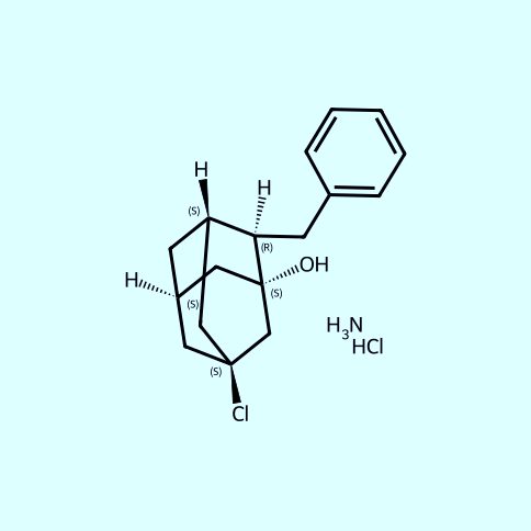 Cl.N.O[C@@]12C[C@@H]3C[C@@H](C[C@@](Cl)(C3)C1)[C@H]2Cc1ccccc1